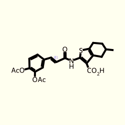 CC(=O)Oc1ccc(/C=C/C(=O)Nc2sc3c(c2C(=O)O)CC(C)CC3)cc1OC(C)=O